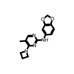 Cc1cnc(Nc2ccc3c(c2)OCO3)nc1N1CCC1